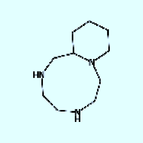 C1CCN2CCNCCNCC2C1